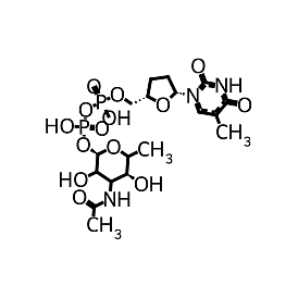 CC(=O)NC1C(O)[C@@H](OP(=O)(O)OP(=O)(O)OC[C@@H]2CC[C@H](n3cc(C)c(=O)[nH]c3=O)O2)OC(C)[C@H]1O